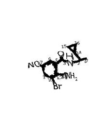 CC(NC(=O)c1cc(C#N)cc(Br)c1N)C1CC1